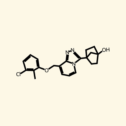 Cc1c(Cl)cccc1OCc1cccn2c(C34CCC(O)(CC3)C4)nnc12